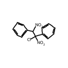 O=[N+]([O-])C(c1ccccc1)C(Cl)(c1ccccc1)[N+](=O)[O-]